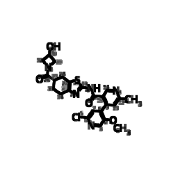 COc1cnc(Cl)cc1-c1cc(C)ncc1C(=O)Nc1nc2c(s1)C[C@H](C(=O)N1CC(O)C1)CC2